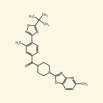 Cc1ccc2oc(N3CCN(C(=O)c4ccc(-c5noc(C(C)(C)C)n5)c(C)c4)CC3)nc2n1